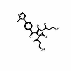 CCc1c(C(=O)c2ccc(-n3ccnc3C)cc2)n(C(=O)CCO)c(=O)n1C(=O)CCO